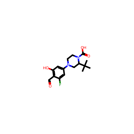 CC(C)(C)C1CN(c2cc(O)c(C=O)c(F)c2)CCN1C(=O)O